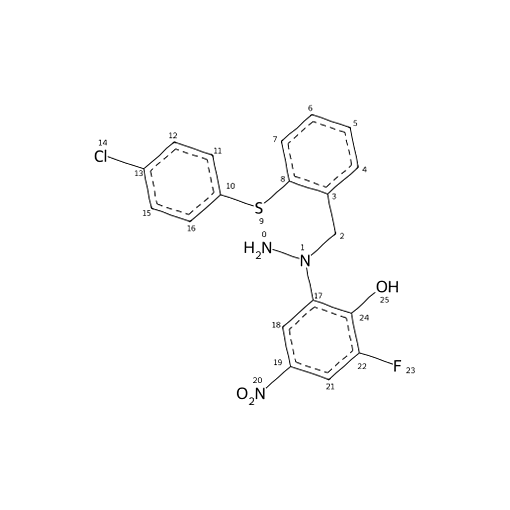 NN(Cc1ccccc1Sc1ccc(Cl)cc1)c1cc([N+](=O)[O-])cc(F)c1O